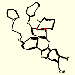 Oc1cc2sc(-c3ccc(OCCN4CCCC4)cc3)c(Cc3ccc(O[C@H]4CCCC[C@@H]4N4CCCCC4)cc3)c2cc1F